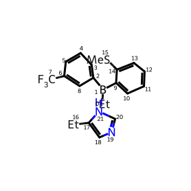 CCB(c1cccc(C(F)(F)F)c1)c1ccccc1SC.CCc1cnc[nH]1